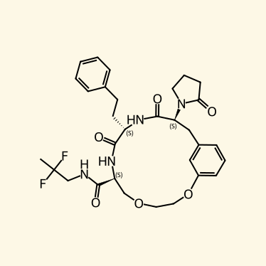 CC(F)(F)CNC(=O)[C@@H]1COCCOc2cccc(c2)C[C@H](N2CCCC2=O)C(=O)N[C@@H](CCc2ccccc2)C(=O)N1